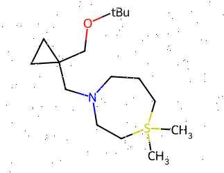 CC(C)(C)OCC1(CN2CCCS(C)(C)CC2)CC1